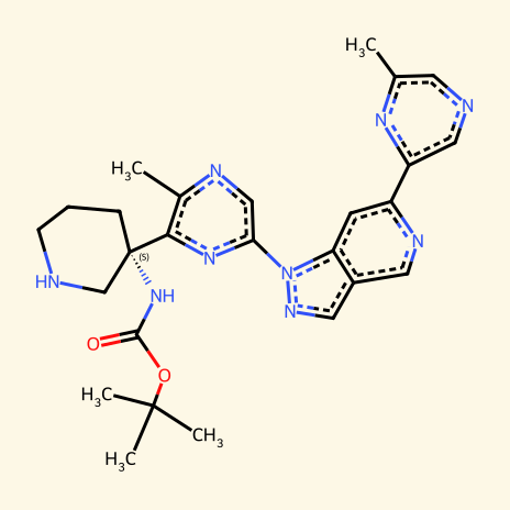 Cc1cncc(-c2cc3c(cn2)cnn3-c2cnc(C)c([C@]3(NC(=O)OC(C)(C)C)CCCNC3)n2)n1